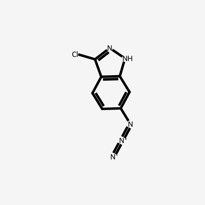 [N-]=[N+]=Nc1ccc2c(Cl)n[nH]c2c1